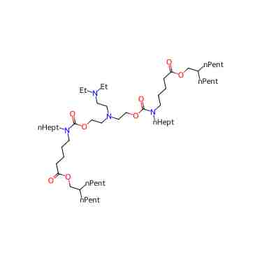 CCCCCCCN(CCCCC(=O)OCC(CCCCC)CCCCC)C(=O)OCCN(CCOC(=O)N(CCCCCCC)CCCCC(=O)OCC(CCCCC)CCCCC)CCN(CC)CC